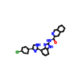 O=C(Nc1nc2c(-c3nc(-c4ccc(Cl)cc4)c[nH]3)cccc2[nH]1)c1cc2ccccc2cn1